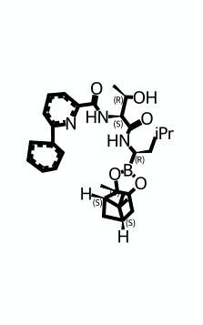 CC(C)C[C@H](NC(=O)[C@@H](NC(=O)c1cccc(-c2ccccc2)n1)[C@@H](C)O)B1OC2C[C@@H]3C[C@@H](C3(C)C)[C@]2(C)O1